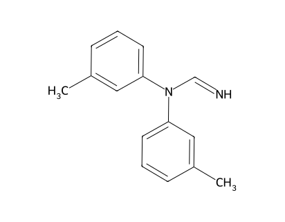 Cc1cccc(N(C=N)c2cccc(C)c2)c1